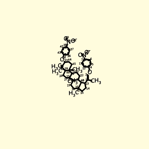 CC(=COc1ccc([N+](=O)[O-])cc1)C1CCC2(C)CCC3C(CCC4C3(C)CCC3C(C)(C)C(Oc5ccc([N+](=O)[O-])cc5)CCC34C)C12